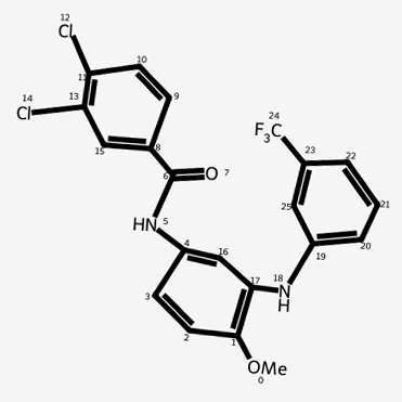 COc1ccc(NC(=O)c2ccc(Cl)c(Cl)c2)cc1Nc1cccc(C(F)(F)F)c1